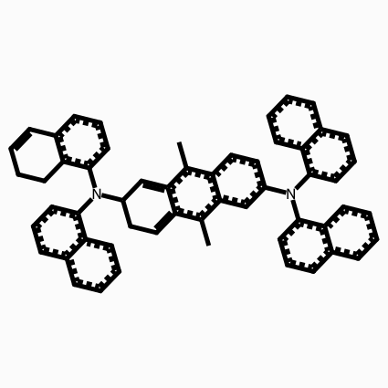 Cc1c2c(c(C)c3cc(N(c4cccc5ccccc45)c4cccc5ccccc45)ccc13)=CCC(N(c1cccc3c1CCC=C3)c1cccc3ccccc13)C=2